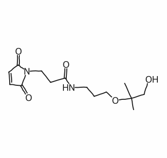 CC(C)(CO)OCCCNC(=O)CCN1C(=O)C=CC1=O